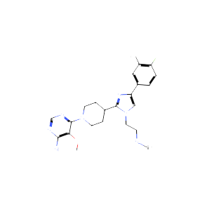 CCOc1c(N)ncnc1N1CCC(c2nc(-c3ccc(F)c(C(F)(F)F)c3)cn2CCNC(C)C)CC1